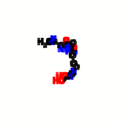 Cn1cc(-c2cnc(N)c(C(=O)N[C@H]3CCC[C@@H]3OCc3ccc(-c4ccc5c(c4)CCC5N4CCN(CC(O)CO)CC4)cc3)c2)cn1